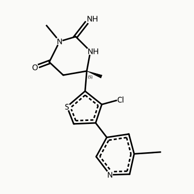 Cc1cncc(-c2csc([C@]3(C)CC(=O)N(C)C(=N)N3)c2Cl)c1